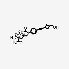 CC(CC1CN(c2ccc(C#CC3CC(CO)C3)cc2)C(=O)O1)(C(=O)O)S(C)(=O)=O